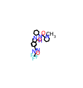 CN1CCCCC1C(=O)N[C@@H]1CCCC[C@H]1N1Cc2ccc(-c3noc(C(F)(F)F)n3)cc2C1=O